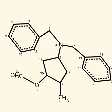 CC1CC(N(Cc2ccccc2)Cc2ccccc2)CC1OC=O